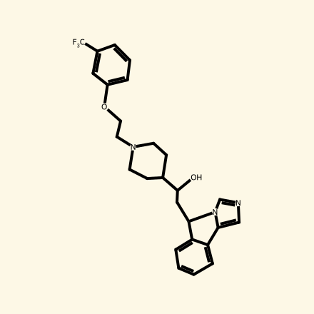 OC(CC1c2ccccc2-c2cncn21)C1CCN(CCOc2cccc(C(F)(F)F)c2)CC1